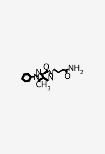 Cc1c2cnn(CCCC(N)=O)c(=O)c2nn1-c1ccccc1